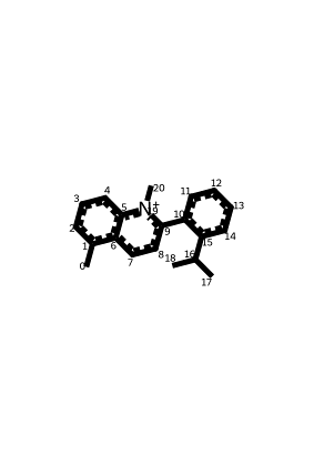 Cc1cccc2c1ccc(-c1ccccc1C(C)C)[n+]2C